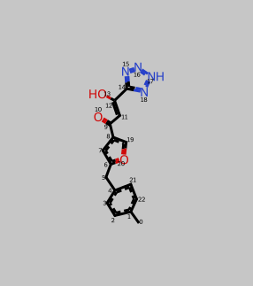 Cc1ccc(Cc2cc(C(=O)C=C(O)c3nn[nH]n3)co2)cc1